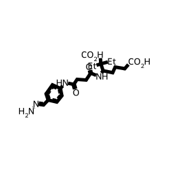 CCC(CC)(C(=O)O)C(CCCC(=O)O)NC(=O)CCC(=O)Nc1ccc(C=NN)cc1